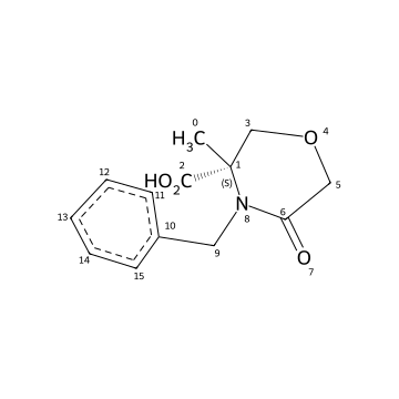 C[C@@]1(C(=O)O)COCC(=O)N1Cc1ccccc1